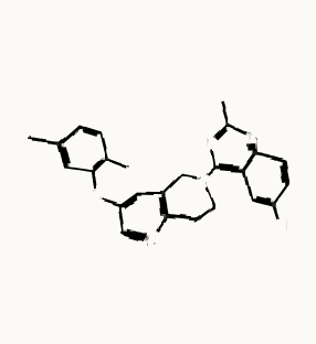 Cc1ccc(F)c(Oc2cnc3c(c2)CN(c2nc(C)nc4ccc(Cl)cc24)CC3)c1